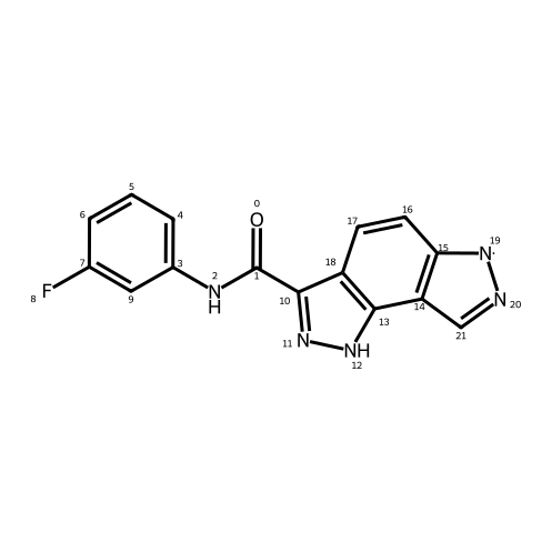 O=C(Nc1cccc(F)c1)c1n[nH]c2c3c(ccc12)[N]N=C3